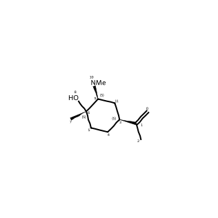 C=C(C)[C@H]1CC[C@](C)(O)[C@@H](NC)C1